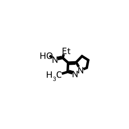 CCC(=NO)c1c(C)nn2c1CCC2